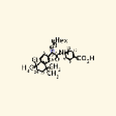 CCCCCCO/N=C(\C(=O)Nc1ccc(C(=O)O)cc1)c1ccc2c(c1)C(C)(C)CCC2(C)C